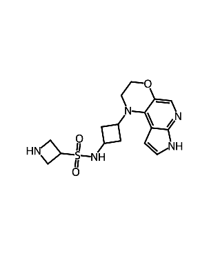 O=S(=O)(NC1CC(N2CCOc3cnc4[nH]ccc4c32)C1)C1CNC1